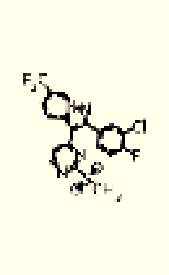 CS(=O)(=O)c1nccc(-c2c(-c3ccc(F)c(Cl)c3)nn3cc(C(F)(F)F)ccc23)n1